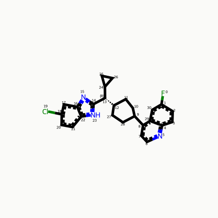 Fc1ccc2nccc(C3CCC([C@H](c4nc5cc(Cl)ccc5[nH]4)C4CC4)CC3)c2c1